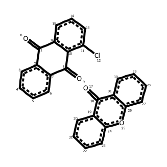 O=C1c2ccccc2C(=O)c2c(Cl)cccc21.O=c1c2ccccc2oc2ccccc12